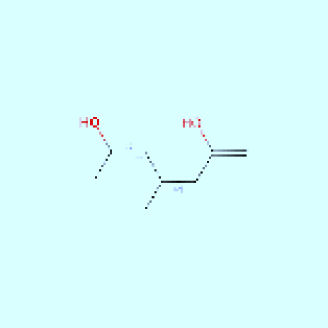 C=C(O)/C=C(C)\C=C(/C)O